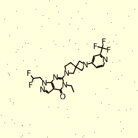 CCn1c(N2CCC3(CN(c4ccnc(C(F)(F)F)c4)C3)C2)nc2c(cnn2CC(F)F)c1=O